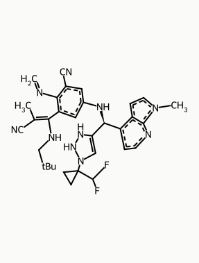 C=Nc1c(C#N)cc(N[C@H](C2=CN(C3(C(F)F)CC3)NN2)c2ccnc3c2ccn3C)cc1/C(NCC(C)(C)C)=C(\C)C#N